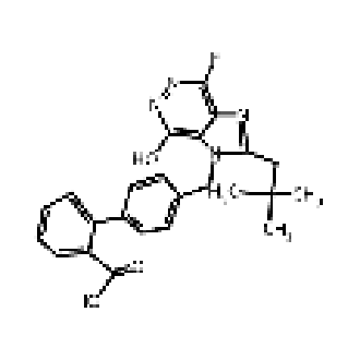 CC(C)(C)Cc1nc2c(F)nnc(O)c2n1Cc1ccc(-c2ccccc2C(=O)O)cc1